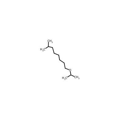 CC(C)CCCCCCOC(C)C